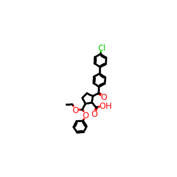 CCOC(Oc1ccccc1)C1CCC(C(=O)c2ccc(-c3ccc(Cl)cc3)cc2)C1C(=O)O